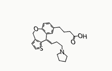 O=C(O)CCCc1ccc2c(c1)/C(=C\CCN1CCCC1)c1sccc1CO2